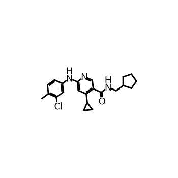 Cc1ccc(Nc2cc(C3CC3)c(C(=O)NCC3CCCC3)cn2)cc1Cl